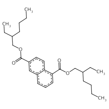 CCCCC(CC)COC(=O)c1ccc2c(C(=O)OCC(CC)CCCC)cccc2c1